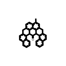 Cc1cc2c3c4c5c(ccc14)Cc1ccc4ccccc4c1C5C(=O)C3c1c(ccc3ccccc13)C2